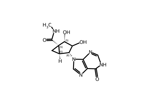 CNC(=O)[C@@]12C[C@@H]1[C@@H](n1cnc3c(=O)[nH]cnc31)C(O)[C@H]2O